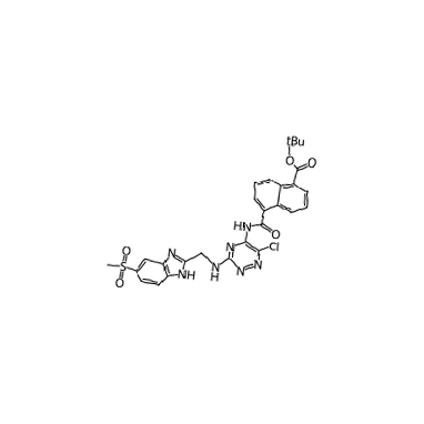 CC(C)(C)OC(=O)c1cccc2c(C(=O)Nc3nc(NCc4nc5cc(S(C)(=O)=O)ccc5[nH]4)nnc3Cl)cccc12